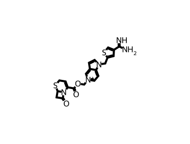 N=C(N)c1csc(Cn2ccc3c[n+](COC(=O)C4=CCSC5CC(=O)N45)ccc32)c1